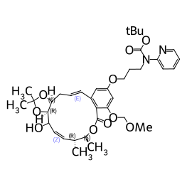 COCOc1cc(OCCCN(C(=O)OC(C)(C)C)c2ccccn2)cc2c1C(=O)O[C@@H](C)[C@H](C)/C=C\C(O)[C@H]1OC(C)(C)O[C@H]1C/C=C/2